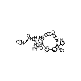 CCn1c(-c2cccnc2)c2c3cc(ccc31)-c1csc(n1)C[C@H](NC(=O)[C@H](C(C)C)N(C)C[C@H]1CCN(C(=O)C#CCN3CCOCC3)C1)C(=O)N(N)CCCCC(=O)OCC(C)(C)C2